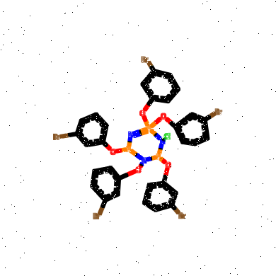 ClN1P(Oc2cccc(Br)c2)N(Oc2cccc(Br)c2)P(Oc2cccc(Br)c2)N=P1(Oc1cccc(Br)c1)Oc1cccc(Br)c1